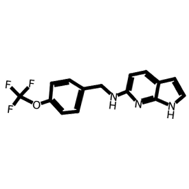 FC(F)(F)Oc1ccc(CNc2ccc3cc[nH]c3n2)cc1